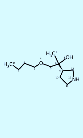 CCCCOCC(C)(O)[C@@H]1CCNC1